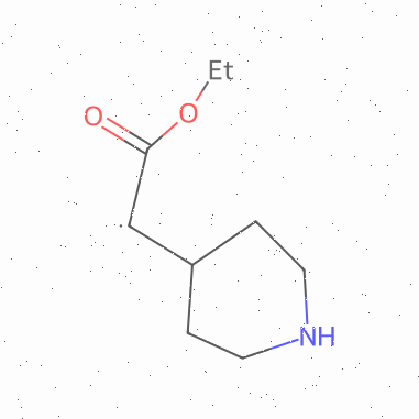 CCOC(=O)[CH]C1CCNCC1